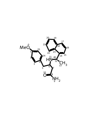 COc1ccc(CC(CC(N)=O)N[C@H](C)c2cccc3ccccc23)cc1